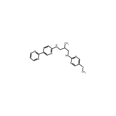 CSc1cnc(NCC(C)CNc2ccc(-c3ncccn3)cn2)nc1